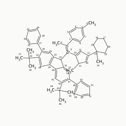 C[C](c1ccc(C)cc1)=[Zr]([C]1=CC(C2(C)CCCCC2)=CC1C)[CH]1c2cc(-c3ccccc3)c(C(C)(C)C)cc2-c2cc(C(C)(C)C)c(-c3ccccc3)cc21